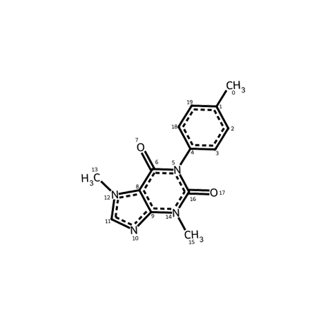 Cc1ccc(-n2c(=O)c3c(ncn3C)n(C)c2=O)cc1